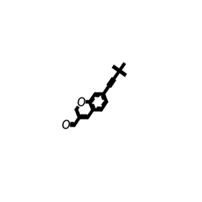 CC(C)(C)C#Cc1ccc2c(c1)OCC(C=O)=C2